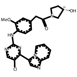 COc1cc(CC(=O)N2CC[C@H](O)C2)ccc1Nc1ncc(Cl)c(-c2cnc3ccccn23)n1